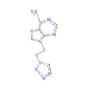 Nc1ncnc2c1ncn2CCn1ccnn1